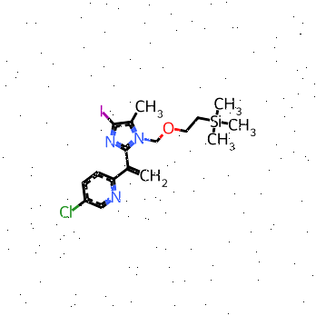 C=C(c1ccc(Cl)cn1)c1nc(I)c(C)n1COCC[Si](C)(C)C